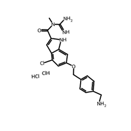 CN(C(=N)N)C(=O)c1cc2c(Cl)cc(OCc3ccc(CN)cc3)cc2[nH]1.Cl.Cl